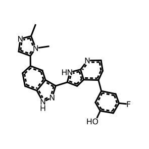 Cc1ncc(-c2ccc3[nH]nc(-c4cc5c(-c6cc(O)cc(F)c6)ccnc5[nH]4)c3c2)n1C